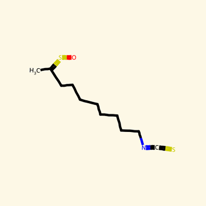 CC(CCCCCCCCN=C=S)=S=O